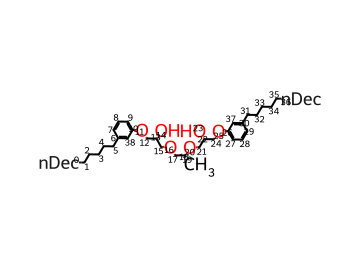 CCCCCCCCCCCCCCCc1cccc(OCC(O)COCC(C)OCC(O)COc2cccc(CCCCCCCCCCCCCCC)c2)c1